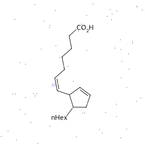 CCCCCCC1CC=CC1/C=C\CCCCC(=O)O